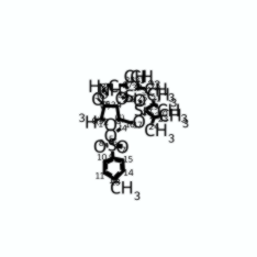 [3H][C@@H]1O[C@]2(COS(=O)(=O)c3ccc(C)cc3)CO[Si](C(C)C)(C(C)C)O[Si](C(C)C)(C(C)C)OC2[C@@H]1ON